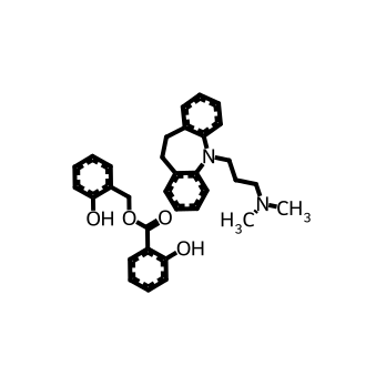 CN(C)CCCN1c2ccccc2CCc2ccccc21.O=C(OCc1ccccc1O)c1ccccc1O